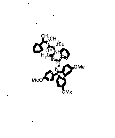 C=C(N[C@@H](CN=P(c1ccc(OC)cc1)(c1ccc(OC)cc1)c1ccc(OC)cc1)c1ccccc1)N[C@H](C(=O)N(C)C(C)c1ccccc1)C(C)(C)C